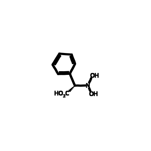 O=C(O)[C@H](c1ccccc1)N(O)O